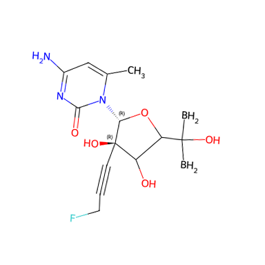 BC(B)(O)C1O[C@@H](n2c(C)cc(N)nc2=O)[C@@](O)(C#CCF)C1O